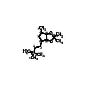 C=P(C)(C)CCC1CC(C)C2OC(C)(C)OC12